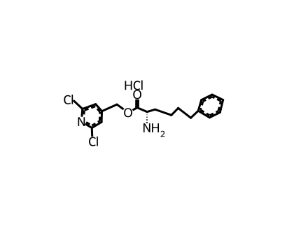 Cl.N[C@@H](CCCCc1ccccc1)C(=O)OCc1cc(Cl)nc(Cl)c1